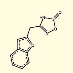 O=S1NC(Cc2cc3ccccc3o2)=NO1